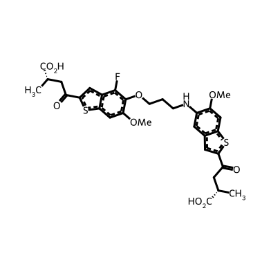 COc1cc2sc(C(=O)C[C@H](C)C(=O)O)cc2cc1NCCCOc1c(OC)cc2sc(C(=O)C[C@H](C)C(=O)O)cc2c1F